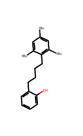 CC(C)(C)c1cc(C(C)(C)C)c(CCCCc2ccccc2O)c(C(C)(C)C)c1